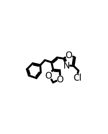 ClCc1coc(C=C(Cc2ccccc2)C2=COCO2)n1